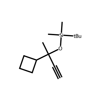 C#CC(C)(O[Si](C)(C)C(C)(C)C)C1CCC1